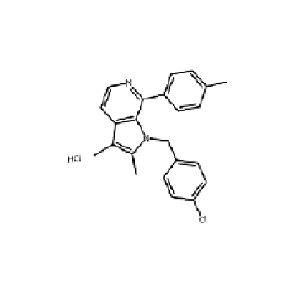 Cc1ccc(-c2nccc3c(C)c(C)n(Cc4ccc(Cl)cc4)c23)cc1.Cl